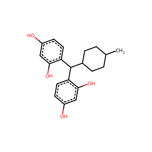 CC1CCC(C(c2ccc(O)cc2O)c2ccc(O)cc2O)CC1